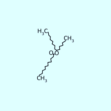 CCCCCCCCCCCC(=O)OC(CCCCCC)CCCCCCCCC